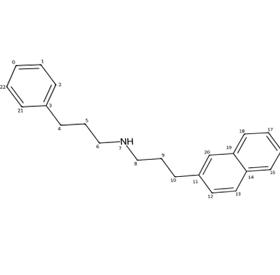 c1ccc(CCCNCCCc2ccc3ccccc3c2)cc1